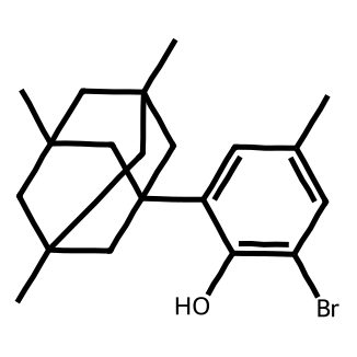 Cc1cc(Br)c(O)c(C23CC4(C)CC(C)(CC(C)(C4)C2)C3)c1